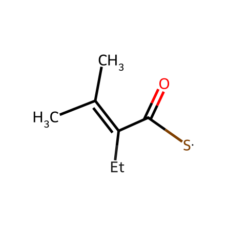 CCC(C(=O)[S])=C(C)C